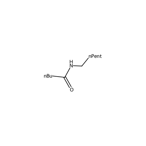 [CH2]CCCCCNC(=O)CCCC